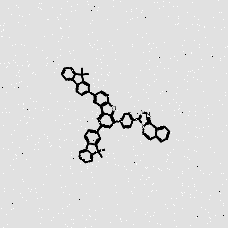 CC1(C)c2ccccc2-c2ccc(-c3ccc4oc5c(-c6ccc(-c7nnc8c9ccccc9ccn78)cc6)cc(-c6ccc7c(c6)C(C)(C)c6ccccc6-7)cc5c4c3)cc21